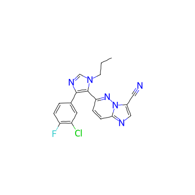 CCCn1cnc(-c2ccc(F)c(Cl)c2)c1-c1ccc2ncc(C#N)n2n1